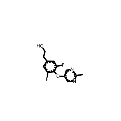 Cc1ncc(Oc2c(F)cc(CCO)cc2F)cn1